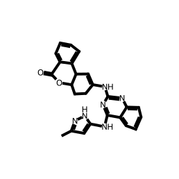 Cc1cc(Nc2nc(NC3=CC4c5ccccc5C(=O)OC4CC3)nc3ccccc23)[nH]n1